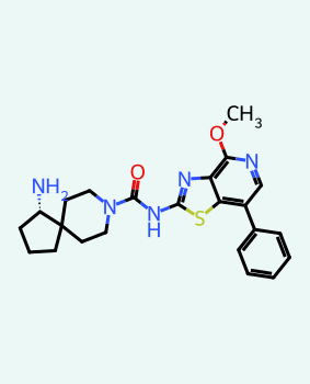 COc1ncc(-c2ccccc2)c2sc(NC(=O)N3CCC4(CCC[C@@H]4N)CC3)nc12